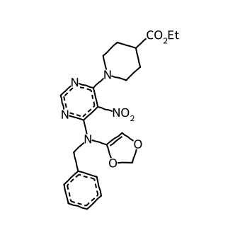 CCOC(=O)C1CCN(c2ncnc(N(Cc3ccccc3)C3=COCO3)c2[N+](=O)[O-])CC1